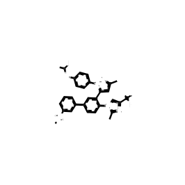 Cc1cc(-c2cc(-c3cccc(S(C)(=O)=O)c3)ccc2-n2cc(C(F)(F)F)nc2C)n(-c2ccc(OC(F)F)cc2)n1